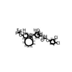 O=C(COc1ccc(Cl)c(Cl)c1)NC12CCC(NC(=O)C3CNC(OC(F)(F)F)CC34CCCCCCCCC4)(CC1)C[C@@H]2O